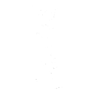 COC(=O)C1(C(=O)OC)Oc2ccc(CC(=O)Cc3ccc4c(c3)OC(C(=O)OC)(C(=O)OC)O4)cc2O1